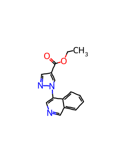 CCOC(=O)c1cnn(-c2cncc3ccccc23)c1